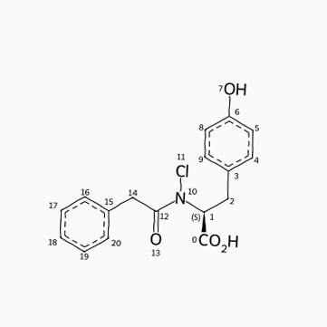 O=C(O)[C@H](Cc1ccc(O)cc1)N(Cl)C(=O)Cc1ccccc1